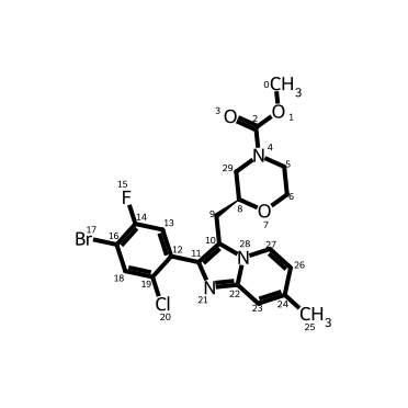 COC(=O)N1CCO[C@@H](Cc2c(-c3cc(F)c(Br)cc3Cl)nc3cc(C)ccn23)C1